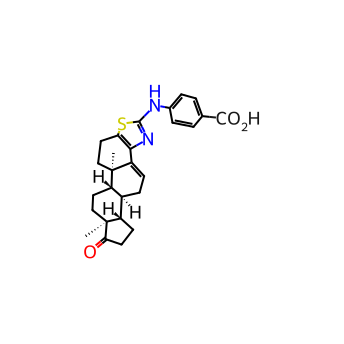 C[C@]12CCc3sc(Nc4ccc(C(=O)O)cc4)nc3C1=CC[C@@H]1[C@@H]2CC[C@]2(C)C(=O)CC[C@@H]12